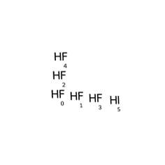 F.F.F.F.F.I